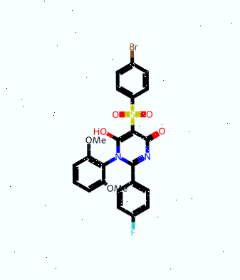 COc1cccc(OC)c1-n1c(-c2ccc(F)cc2)nc(=O)c(S(=O)(=O)c2ccc(Br)cc2)c1O